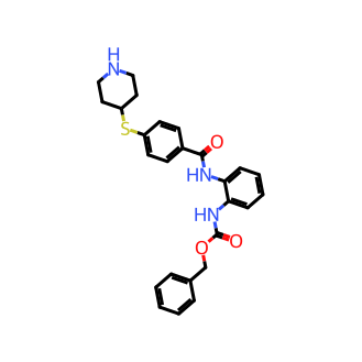 O=C(Nc1ccccc1NC(=O)c1ccc(SC2CCNCC2)cc1)OCc1ccccc1